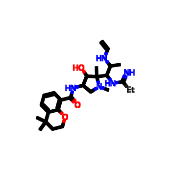 C=CNC(C)C(NC(=N)CC)C1(C)C(O)C(NC(=O)c2cccc3c2OCCC3(C)C)CN1C